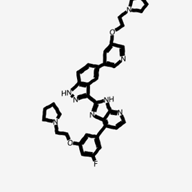 Fc1cc(OCCN2CCCC2)cc(-c2ccnc3[nH]c(-c4n[nH]c5ccc(-c6cncc(OCCN7CCCC7)c6)cc45)nc23)c1